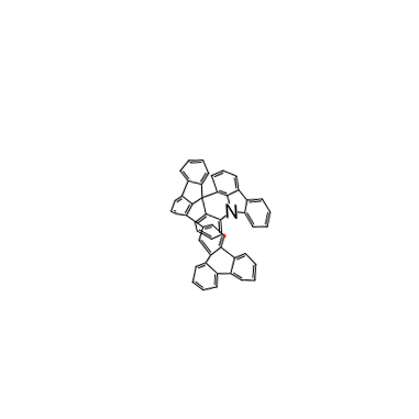 c1ccc2c(c1)-c1cccc(-c3ccc4c5ccccc5c5ccccc5c4c3)c1C21c2ccccc2-n2c3ccccc3c3cccc1c32